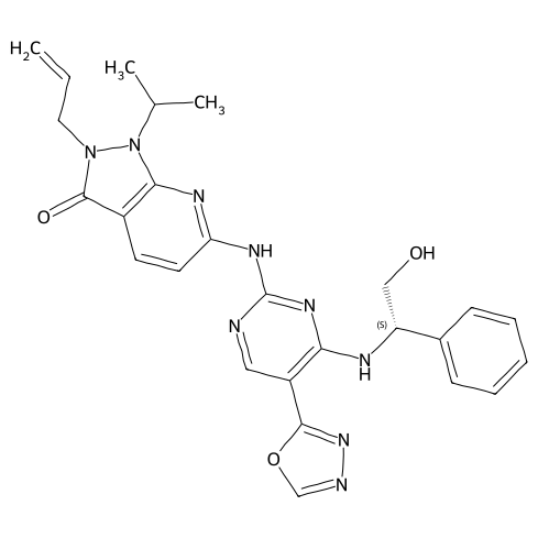 C=CCn1c(=O)c2ccc(Nc3ncc(-c4nnco4)c(N[C@H](CO)c4ccccc4)n3)nc2n1C(C)C